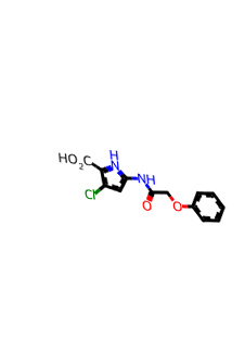 O=C(COc1ccccc1)Nc1cc(Cl)c(C(=O)O)[nH]1